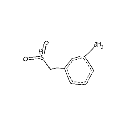 Bc1cccc(C[SH](=O)=O)c1